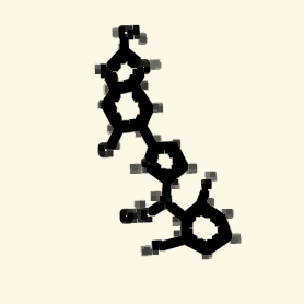 Cc1nc2cc(Cl)c(-c3ccc(N(C=O)c4c(F)cccc4F)s3)cc2o1